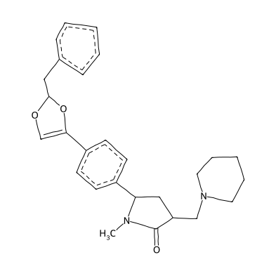 CN1C(=O)C(CN2CCCCC2)CC1c1ccc(C2=COC(Cc3ccccc3)O2)cc1